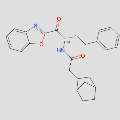 O=C(CC1CC2CCC1C2)N[C@@H](CCc1ccccc1)C(=O)c1nc2ccccc2o1